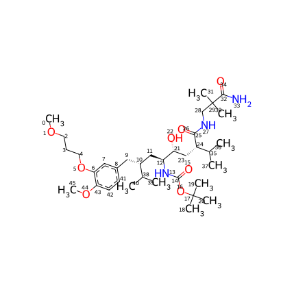 COCCCOc1cc(C[C@H](C[C@H](NC(=O)OC(C)(C)C)[C@H](O)C[C@H](C(=O)NCC(C)(C)C(N)=O)C(C)C)C(C)C)ccc1OC